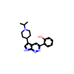 CC(C)N1CCC(c2c[nH]c3nnc(-c4ccccc4O)cc23)CC1